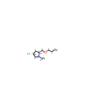 CC(=O)CCOC[C@@H]1C[C@@H](F)CN1C(C)C